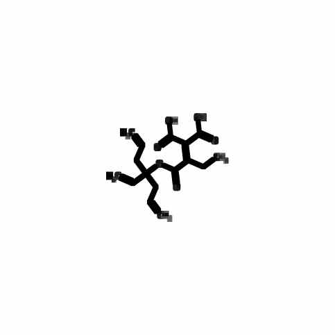 C=CCC(C=C)(CC=C)OC(=O)C(CC)=C(C(=O)O)C(=O)O